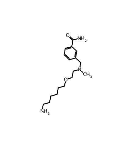 CN(CCOCCCCCCN)Cc1cccc(C(N)=O)c1